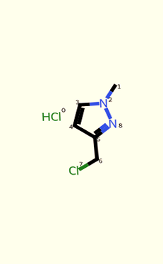 Cl.Cn1ccc(CCl)n1